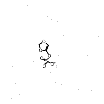 O=S(=O)(OC1=COCO1)C(F)(F)F